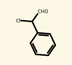 O=C[C](Cl)c1ccccc1